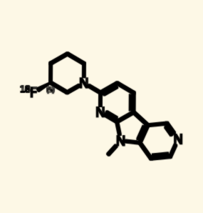 Cn1c2ccncc2c2ccc(N3CCC[C@H]([18F])C3)nc21